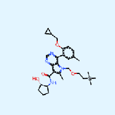 Cc1ccc(OCC2CC2)c(-c2ncnc3c(C(=O)N[C@H]4CCC[C@@H]4O)c(C)n(COCC[Si](C)(C)C)c23)c1